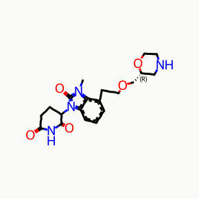 Cn1c(=O)n(C2CCC(=O)NC2=O)c2cccc(CCOC[C@H]3CNCCO3)c21